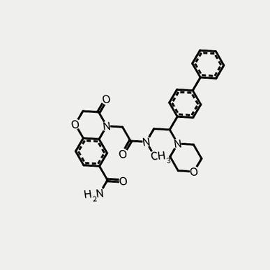 CN(CC(c1ccc(-c2ccccc2)cc1)N1CCOCC1)C(=O)CN1C(=O)COc2ccc(C(N)=O)cc21